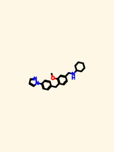 COc1cc(CNC2CCCCC2)ccc1Cc1ccc(-n2cccn2)cc1